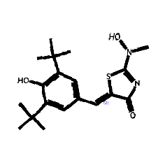 CN(O)C1=NC(=O)/C(=C/c2cc(C(C)(C)C)c(O)c(C(C)(C)C)c2)S1